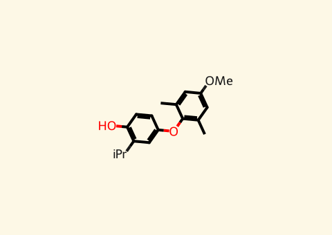 COc1cc(C)c(Oc2ccc(O)c(C(C)C)c2)c(C)c1